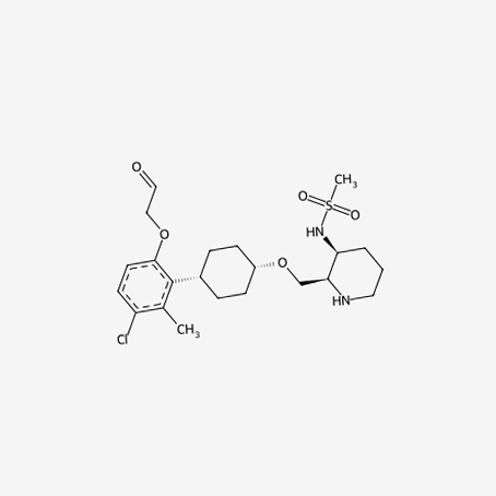 Cc1c(Cl)ccc(OCC=O)c1[C@H]1CC[C@@H](OC[C@@H]2NCCC[C@@H]2NS(C)(=O)=O)CC1